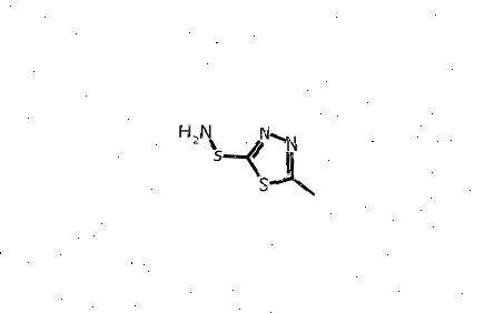 Cc1nnc(SN)s1